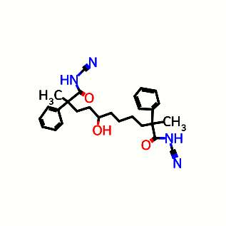 CC(CCCCC(O)CCC(C)(C(=O)NC#N)c1ccccc1)(C(=O)NC#N)c1ccccc1